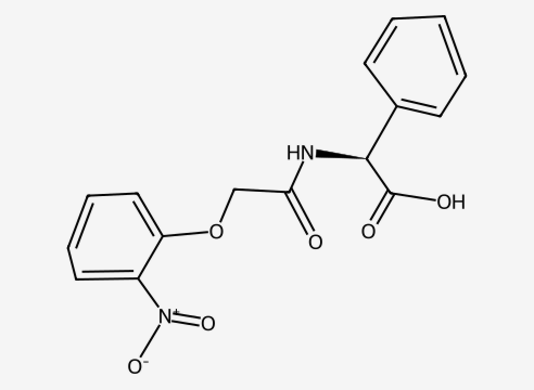 O=C(COc1ccccc1[N+](=O)[O-])N[C@H](C(=O)O)c1ccccc1